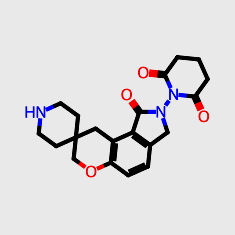 O=C1c2c(ccc3c2CC2(CCNCC2)CO3)CN1N1C(=O)CCCC1=O